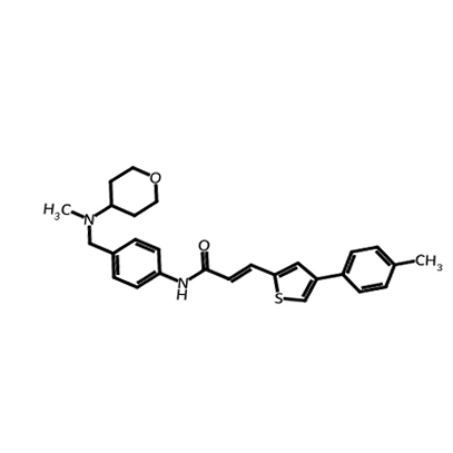 Cc1ccc(-c2csc(/C=C/C(=O)Nc3ccc(CN(C)C4CCOCC4)cc3)c2)cc1